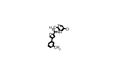 Cc1cccc(-c2coc(C(=O)Nc3cc(Cl)cnc3C)c2)c1